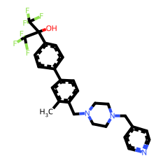 Cc1cc(-c2ccc(C(O)(C(F)(F)F)C(F)(F)F)cc2)ccc1CN1CCN(Cc2ccncc2)CC1